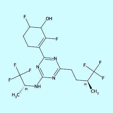 C[C@@H](CCc1nc(N[C@H](C)C(F)(F)F)nc(C2=C(F)C(O)C(F)CC2)n1)C(F)(F)F